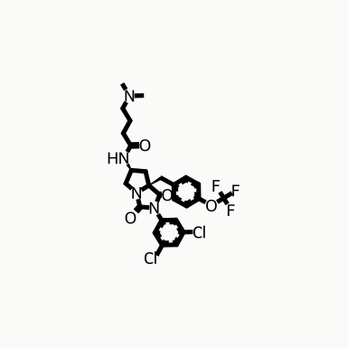 CN(C)CCCC(=O)N[C@@H]1CN2C(=O)N(c3cc(Cl)cc(Cl)c3)C(=O)[C@@]2(Cc2ccc(OC(F)(F)F)cc2)C1